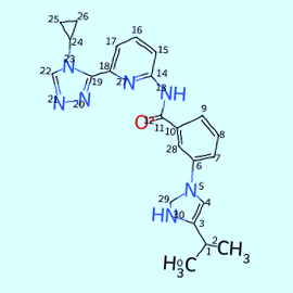 CC(C)C1=CN(c2cccc(C(=O)Nc3cccc(-c4nncn4C4CC4)n3)c2)CN1